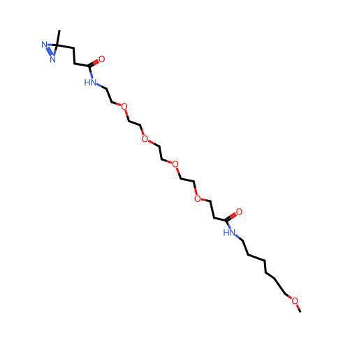 COCCCCCCNC(=O)CCOCCOCCOCCOCCNC(=O)CCC1(C)N=N1